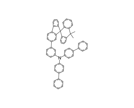 CC1(C)c2ccccc2C2(c3ccccc3-c3ccc(-c4cccc(N(c5ccc(-c6ccccc6)cc5)c5ccc(-c6ccccc6)cc5)c4)cc32)c2ccccc21